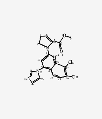 COC(=O)C1=CCCN1c1cc(-n2ccnc2)c2ccc(Cl)c(Cl)c2n1